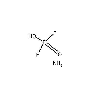 N.O=P(O)(F)F